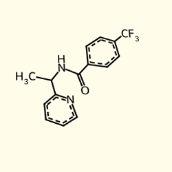 CC(NC(=O)c1ccc(C(F)(F)F)cc1)c1ccccn1